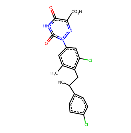 Cc1cc(-n2nc(C(=O)O)c(=O)[nH]c2=O)cc(Cl)c1CC(C#N)c1ccc(Cl)cc1